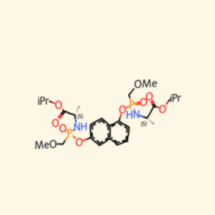 COCP(=O)(N[C@@H](C)C(=O)OC(C)C)Oc1ccc2c(OP(=O)(COC)N[C@@H](C)C(=O)OC(C)C)cccc2c1